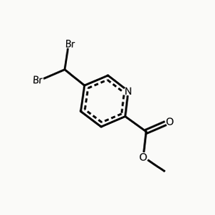 COC(=O)c1ccc(C(Br)Br)cn1